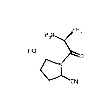 C[C@H](N)C(=O)N1CCCC1C#N.Cl